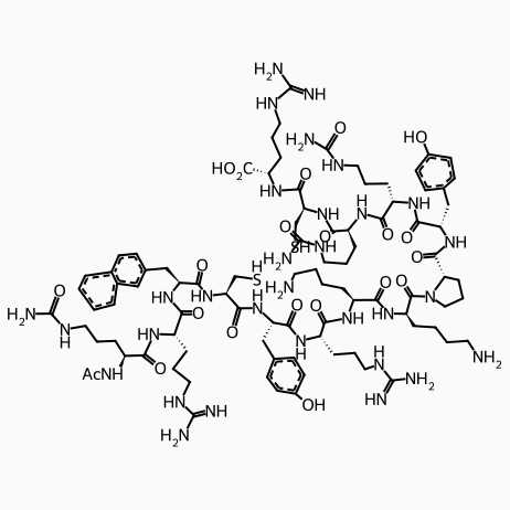 CC(=O)N[C@@H](CCCNC(N)=O)C(=O)N[C@@H](CCCNC(=N)N)C(=O)N[C@@H](Cc1ccc2ccccc2c1)C(=O)N[C@@H](CS)C(=O)N[C@@H](Cc1ccc(O)cc1)C(=O)N[C@@H](CCCNC(=N)N)C(=O)N[C@@H](CCCCN)C(=O)N[C@H](CCCCN)C(=O)N1CCC[C@H]1C(=O)N[C@@H](Cc1ccc(O)cc1)C(=O)N[C@@H](CCCNC(N)=O)C(=O)N[C@@H](CCCNC(N)=O)C(=O)N[C@@H](CS)C(=O)N[C@@H](CCCNC(=N)N)C(=O)O